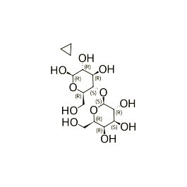 C1CC1.OC[C@H]1O[C@@H](O[C@H]2[C@H](O)[C@@H](O)[C@H](O)O[C@@H]2CO)[C@H](O)[C@@H](O)[C@H]1O